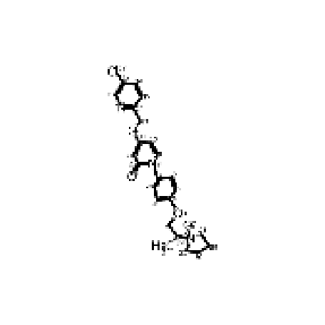 C[C@@H](COc1ccc(-n2ccc(OCc3ccc(Cl)cn3)cc2=O)cc1)[N+]1([O-])CCCC1